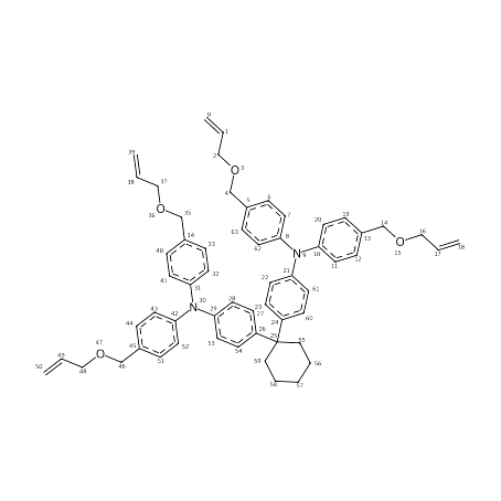 C=CCOCc1ccc(N(c2ccc(COCC=C)cc2)c2ccc(C3(c4ccc(N(c5ccc(COCC=C)cc5)c5ccc(COCC=C)cc5)cc4)CCCCC3)cc2)cc1